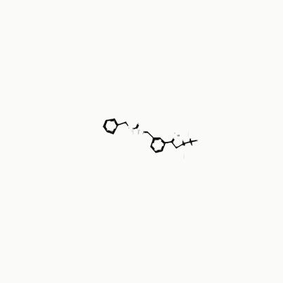 O=C(NCc1ccccc1)NCc1cccc(C2=NOC(O)(C(F)(F)F)C2)c1